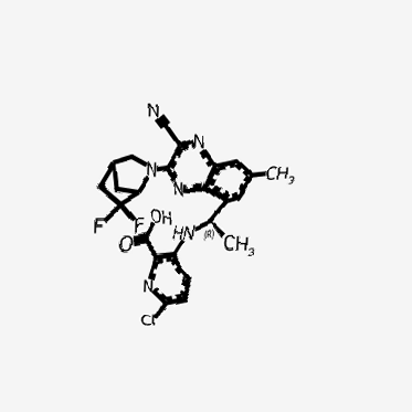 Cc1cc([C@@H](C)Nc2ccc(Cl)nc2C(=O)O)c2nc(N3CC4CC3C(F)(F)C4)c(C#N)nc2c1